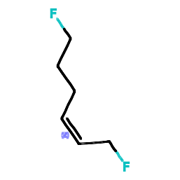 FC/C=C\CCCF